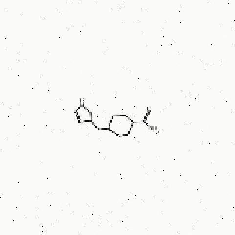 NC(=O)C1CCN(Cc2cc[nH]c2)CC1